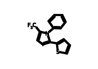 FC(F)(F)c1c[c]c(-c2cccs2)n1-c1ccccc1